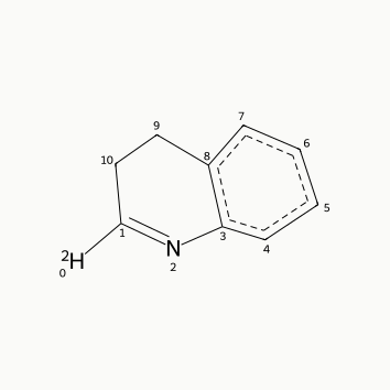 [2H]C1=Nc2ccccc2CC1